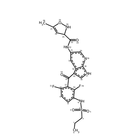 CCCS(=O)(=O)Nc1ccc(F)c(C(=O)c2c[nH]c3ncc(NC(=O)C4C=C(C)ON4)cc23)c1F